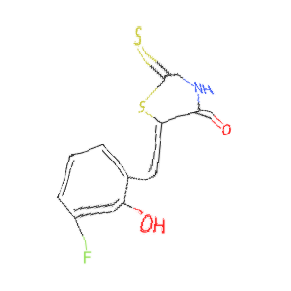 O=C1NC(=S)S/C1=C\c1cccc(F)c1O